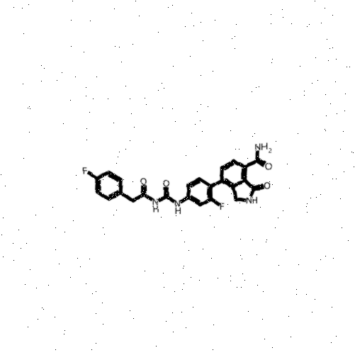 NC(=O)c1ccc(-c2ccc(NC(=O)NC(=O)Cc3ccc(F)cc3)cc2F)c2c1C(=O)NC2